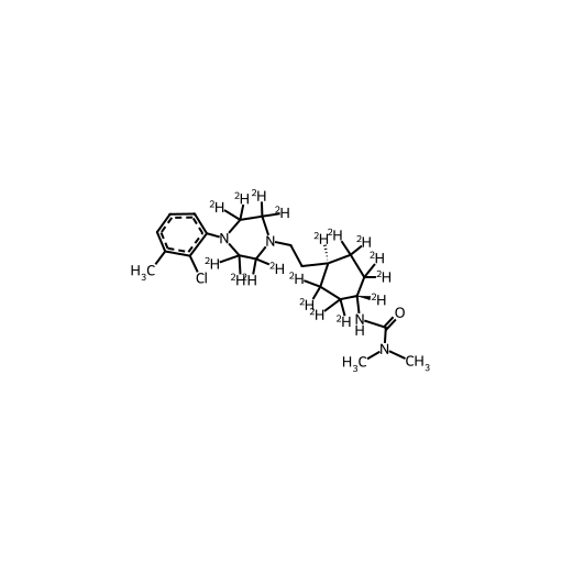 [2H]C1([2H])N(CC[C@]2([2H])C([2H])([2H])C([2H])([2H])[C@@]([2H])(NC(=O)N(C)C)C([2H])([2H])C2([2H])[2H])C([2H])([2H])C([2H])([2H])N(c2cccc(C)c2Cl)C1([2H])[2H]